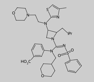 Cc1csc(N(CCN2CCOCC2)C2CN(/C(=N/S(=O)(=O)c3ccccc3)N(CC3CCOCC3)c3cccc(C(=O)O)c3)C2CC(C)C)n1